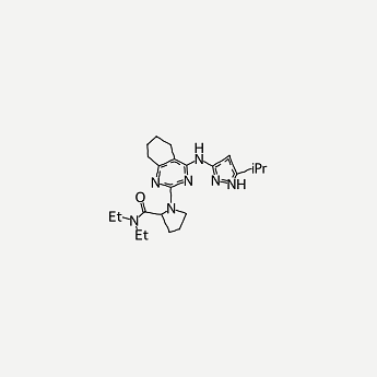 CCN(CC)C(=O)C1CCCN1c1nc2c(c(Nc3cc(C(C)C)[nH]n3)n1)CCCC2